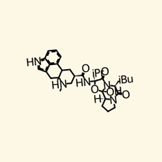 CCC(C)[C@H]1C(=O)N2CCC[C@H]2[C@]2(O)O[C@](NC(=O)[C@@H]3CC4c5cccc6[nH]cc(c56)C[C@H]4N(C)C3)(C(C)C)C(=O)N12